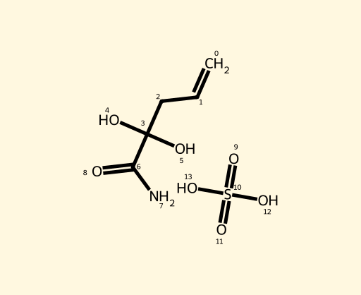 C=CCC(O)(O)C(N)=O.O=S(=O)(O)O